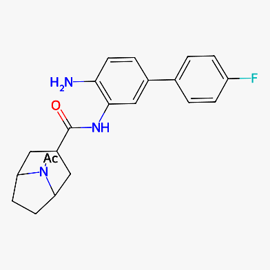 CC(=O)N1C2CCC1CC(C(=O)Nc1cc(-c3ccc(F)cc3)ccc1N)C2